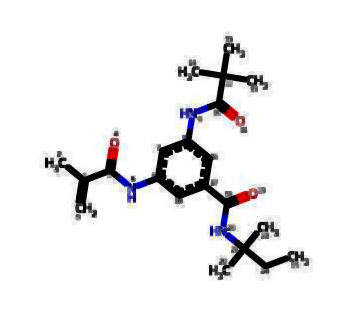 C=C(C)C(=O)Nc1cc(NC(=O)C(C)(C)C)cc(C(=O)NC(C)(C)CC)c1